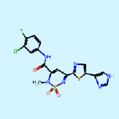 CN1C(C(=O)Nc2ccc(F)c(Cl)c2)=CC(c2ncc(-c3c[nH]cn3)s2)=NS1(=O)=O